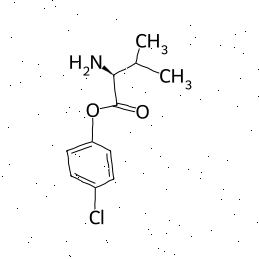 CC(C)[C@H](N)C(=O)Oc1ccc(Cl)cc1